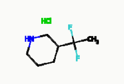 CC(F)(F)C1CCCNC1.Cl